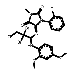 CSc1ccc(NC(N=C2C(=O)N(C)C(=O)N2c2ccccc2F)C(Br)(Br)CCl)c(SC)c1